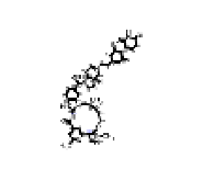 CN/C1=C(\C=N)c2cc(cc(C)n2)C(=O)/N=C2\Nc3ccc(C(=O)N4CC[C@H]5CN(CCc6cc(F)c([C@H]7CCC(=O)NC7=O)c(F)c6)CC[C@H]54)cc3N2C[C@H](C)CCCO1